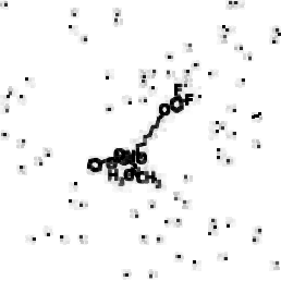 CN(C)CC(CC(=O)OCc1ccccc1)NC(=O)CCCCCCCCOc1ccc(F)c(F)c1